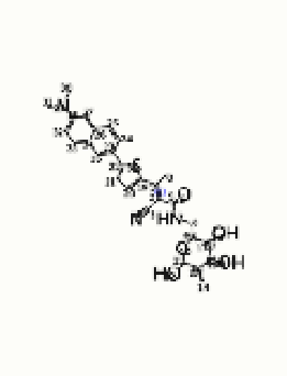 C/C(=C(/C#N)C(=O)NC[C@H]1OC(O)[C@H](C)[C@@H](O)[C@@H]1O)c1ccc(-c2ccc3cc(N(C)C)ccc3c2)s1